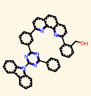 OCc1ccccc1-c1ccc2ccc3ccc(-c4cccc(-c5nc(-c6ccccc6)nc(-n6c7ccccc7c7ccccc76)n5)c4)nc3c2n1